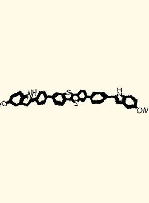 COc1ccc2[nH]c(-c3ccc(-c4ccc5c(c4)sc4c6ccc(-c7ccc(-c8cc9cc(OC)ccc9[nH]8)cc7)cc6sc54)cc3)cc2c1